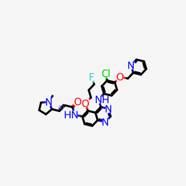 CN1CCCC1/C=C/C(=O)Nc1ccc2ncnc(Nc3ccc(OCc4ccccn4)c(Cl)c3)c2c1OCCCF